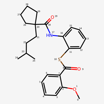 COc1ccccc1C(=O)Sc1ccccc1NC(=O)C1(CCC(C)C)CCCC1